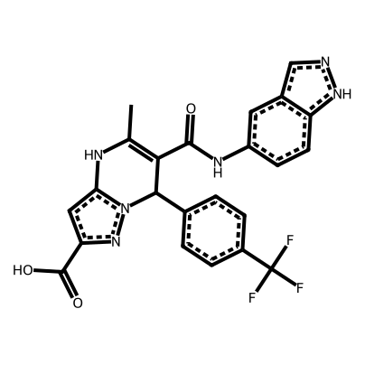 CC1=C(C(=O)Nc2ccc3[nH]ncc3c2)C(c2ccc(C(F)(F)F)cc2)n2nc(C(=O)O)cc2N1